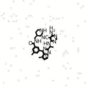 Cc1cc(C(=O)NCC2CCNCC2)cc(-c2nc(C(C)Nc3ncnc(N)c3C#N)nn3ccc(C)c23)c1